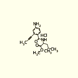 CC#Cc1cc(N)ccc1C(=O)NC(CC(C)C)C(=O)OC.Cl